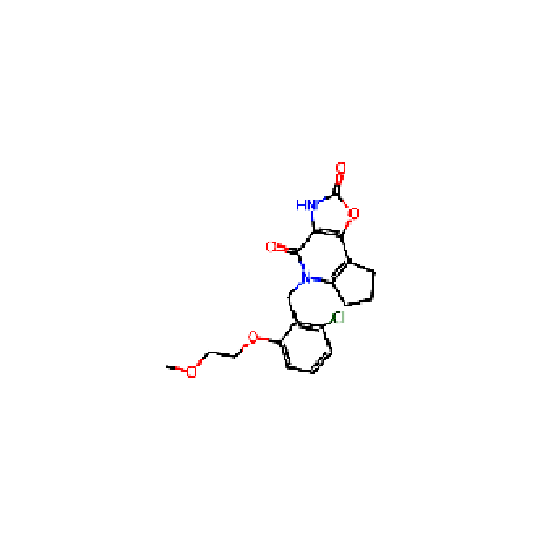 COCCOc1cccc(Cl)c1Cn1c2c(c3oc(=O)[nH]c3c1=O)CCC2